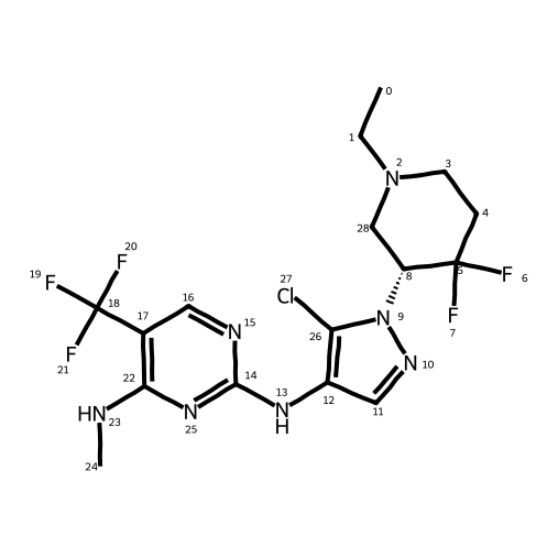 CCN1CCC(F)(F)[C@H](n2ncc(Nc3ncc(C(F)(F)F)c(NC)n3)c2Cl)C1